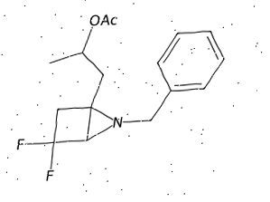 CC(=O)OC(C)CC12CC(F)(F)C1N2Cc1ccccc1